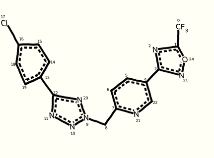 FC(F)(F)c1nc(-c2ccc(Cn3nnc(-c4ccc(Cl)cc4)n3)nc2)no1